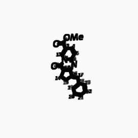 COC(=O)c1ccc2nc3c(c(=O)n2c1)CCC3=Cc1ccccc1